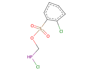 O=S(=O)(OCPCl)c1ccccc1Cl